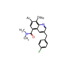 COc1c(C(C)=O)cc(C(=O)N(C)C)c2cc(Cc3ccc(F)cc3)cnc12